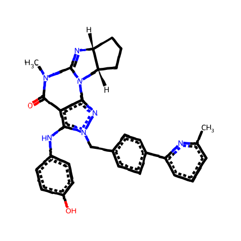 Cc1cccc(-c2ccc(Cn3nc4c(c3Nc3ccc(O)cc3)C(=O)N(C)C3=N[C@@H]5CCC[C@@H]5N34)cc2)n1